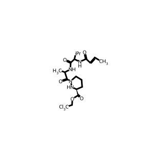 C/C=C/C(=O)NC(C(=O)NC(C)C(=O)N1CCC[C@@H](C(=O)OCC(Cl)(Cl)Cl)N1)C(C)C